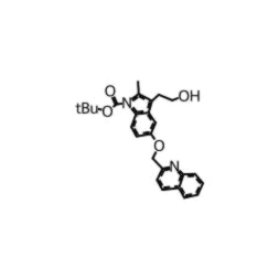 Cc1c(CCO)c2cc(OCc3ccc4ccccc4n3)ccc2n1C(=O)OC(C)(C)C